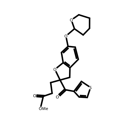 COC(=O)CCC1(C(=O)c2ccsc2)Cc2ccc(OC3CCCCO3)cc2O1